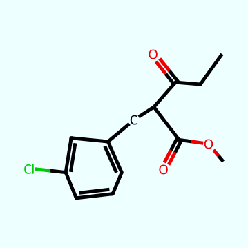 CCC(=O)C(Cc1cccc(Cl)c1)C(=O)OC